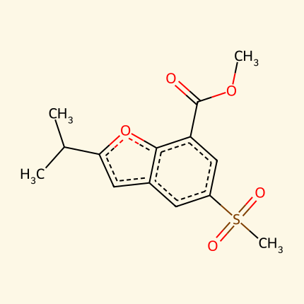 COC(=O)c1cc(S(C)(=O)=O)cc2cc(C(C)C)oc12